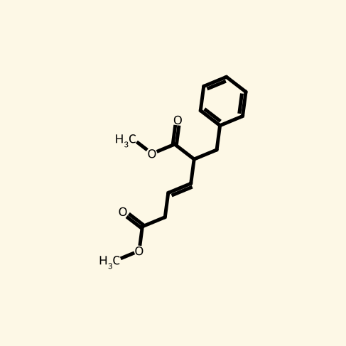 COC(=O)CC=CC(Cc1ccccc1)C(=O)OC